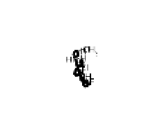 CNC[C@H]1CC[C@@H](Nc2cc(-c3cccc(NCc4cccc(F)c4)n3)c(Cl)cn2)C1